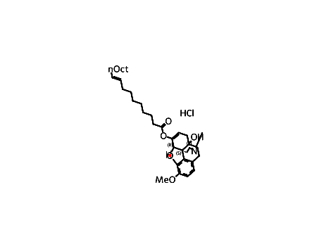 CCCCCCCCC=CCCCCCCCC(=O)OC1=CC[C@]2(O)C3Cc4ccc(OC)c5c4[C@@]2(CCN3C)[C@H]1O5.Cl